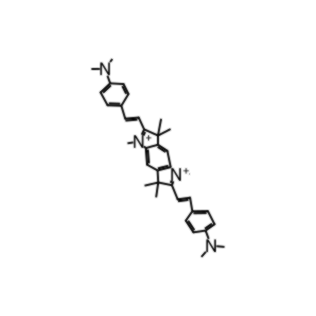 CN(C)c1ccc(C=CC2=[N+](C)c3cc4c(cc3C2(C)C)[N+](C)=C(C=Cc2ccc(N(C)C)cc2)C4(C)C)cc1